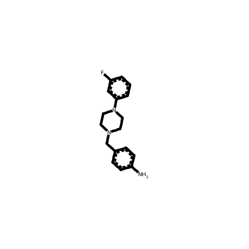 Nc1ccc(CN2CCN(c3cccc(F)c3)CC2)cc1